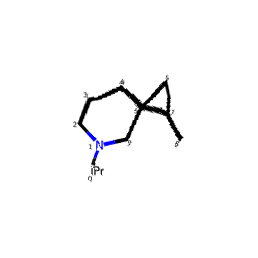 CC(C)N1CCCC2(CC2C)C1